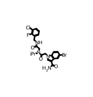 CC(C)N(CC(=O)NCc1cccc(Cl)c1F)C(=O)Cn1cc(C(N)=O)c2cc(Br)ccc21